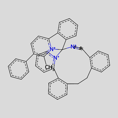 Cc1c(-c2ccccc2)ccc2[n+]1C1(c3ccccc3-2)[n+]2ccccc2-c2ccccc2CCc2ccccc2-c2cccc[n+]21